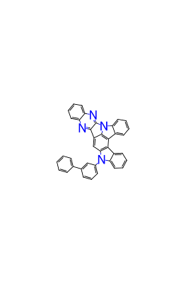 c1ccc(-c2cccc(-n3c4ccccc4c4c5c6ccccc6n6c7nc8ccccc8nc7c(cc43)c56)c2)cc1